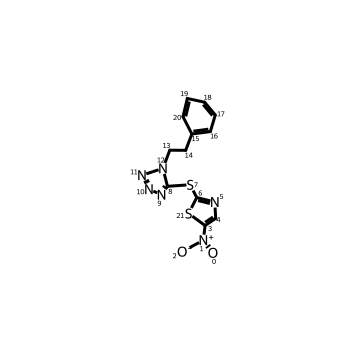 O=[N+]([O-])c1cnc(Sc2nnnn2CCc2ccccc2)s1